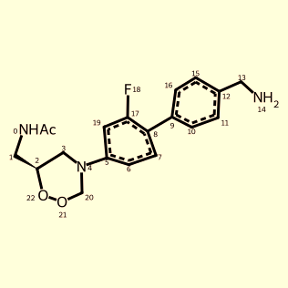 CC(=O)NC[C@H]1CN(c2ccc(-c3ccc(CN)cc3)c(F)c2)COO1